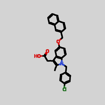 Cc1c(CC(=O)O)c2cc(OCc3ccc4ccccc4c3)ccc2n1Cc1ccc(Cl)cc1